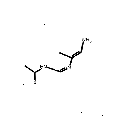 CC(=C\N)/N=C\NC(C)F